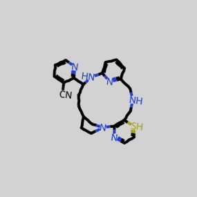 N#Cc1cccnc1C1CCC2CCN(C2)C2=C(CNCc3cccc(n3)N1)[SH]=CC=N2